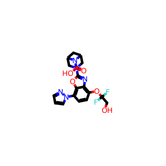 O=C(O)N1C2CC1CN(c1nc3c(OC(F)(F)CO)ccc(-n4cccn4)c3o1)C2